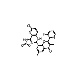 Cc1cc(C(C)Nc2ccc(Cl)nc2-c2noc(=O)[nH]2)c2oc(-c3ncccc3F)c(C)c(=O)c2c1